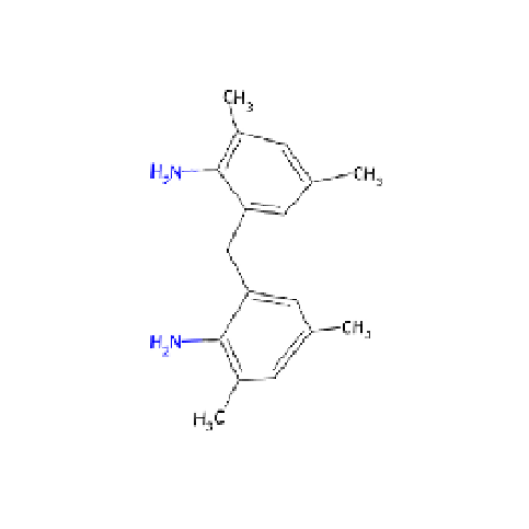 Cc1cc(C)c(N)c(Cc2cc(C)cc(C)c2N)c1